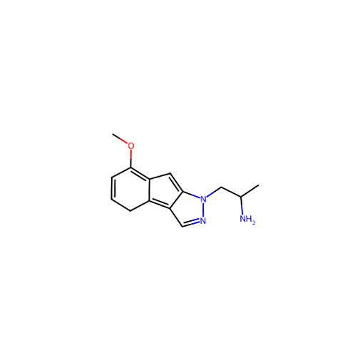 COC1=C2C=c3c(cnn3CC(C)N)=C2CC=C1